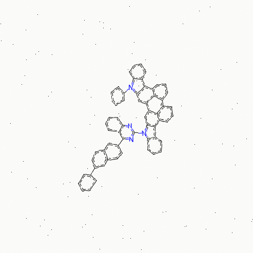 c1ccc(-c2ccc3cc(-c4nc(-n5c6ccccc6c6c7cccc8c9cccc%10c9c(cc9c%10c%10ccccc%10n9-c9ccccc9)c(cc65)c87)nc5ccccc45)ccc3c2)cc1